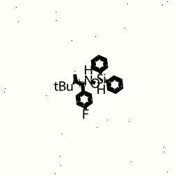 C[C@@H]([C@@H](NO[SiH](c1ccccc1)c1ccccc1)c1ccc(F)cc1)C(C)(C)C